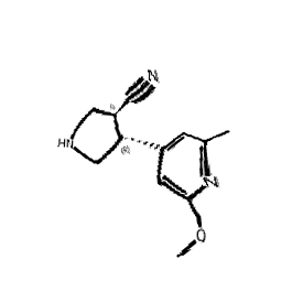 COc1cc([C@@H]2CNC[C@H]2C#N)cc(C)n1